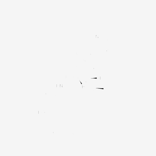 C[C@H]1C=C2C3C=C4OCOC4=C(O)C3C(=O)N[C@H]2[C@@H]2OP(=O)(OCN3CCCCCC3=O)O[C@@H]21